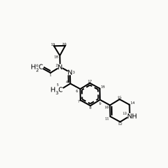 C=CN(/N=C(\C)c1ccc(C2=CCNCC2)cc1)C1CC1